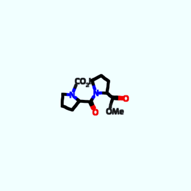 COC(=O)C1CCCN1C(=O)C1CCCN1C(=O)O